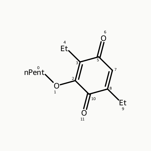 CCCCCOC1=C(CC)C(=O)C=C(CC)C1=O